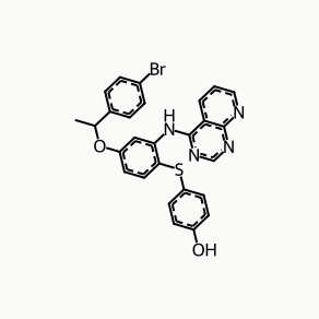 CC(Oc1ccc(Sc2ccc(O)cc2)c(Nc2ncnc3ncccc23)c1)c1ccc(Br)cc1